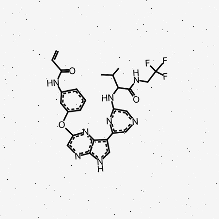 C=CC(=O)Nc1cccc(Oc2cnc3[nH]cc(-c4cncc(NC(C(=O)NCC(F)(F)F)C(C)C)n4)c3n2)c1